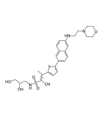 C/C(=C(/C#N)S(=O)(=O)NCC(O)CO)c1ccc(-c2ccc3cc(NCCN4CCOCC4)ccc3c2)s1